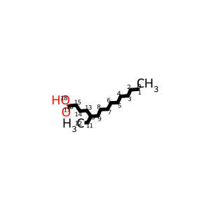 CCCCCCCCCCC(CC)CCCC(=O)O